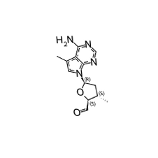 Cc1cn([C@H]2C[C@H](C)[C@@H](C=O)O2)c2ncnc(N)c12